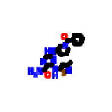 Cc1cc(Nc2nc(N[C@H]3CCCN(C(=O)c4ccccc4)C3)cnc2C(N)=O)sn1